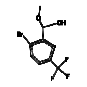 COC(O)c1cc(C(F)(F)F)ccc1Br